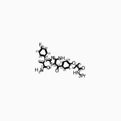 CC(C)NC(=O)C(C)(C)Oc1ccc(C(=O)c2sc(N(c3ccc(F)cc3)C(C)C(N)=O)nc2N)cc1